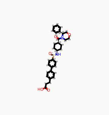 O=C(O)CCc1ccc(-c2ccc([S+]([O-])N[C@H]3CC[C@H](C(=O)N4CCOC[C@@H]4c4ccccc4)CC3)cc2)cc1